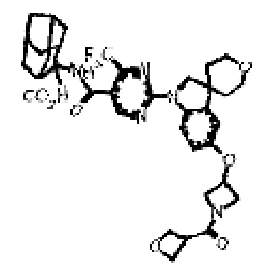 O=C(NC1(C(=O)O)C2CC3CC(C2)CC1C3)c1cnc(N2CC3(CCOCC3)c3cc(OC4CN(C(=O)C5COC5)C4)ccc32)nc1C(F)(F)F